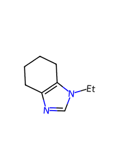 CCn1cnc2c1CCCC2